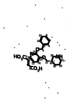 O=C(O)/C=C/C(=O)O.c1ccc(COc2ncccc2OC[C@H]2CCCNC2)cc1